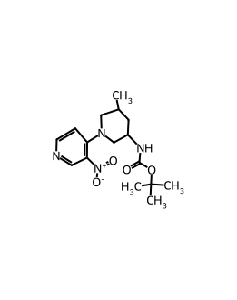 CC1CC(NC(=O)OC(C)(C)C)CN(c2ccncc2[N+](=O)[O-])C1